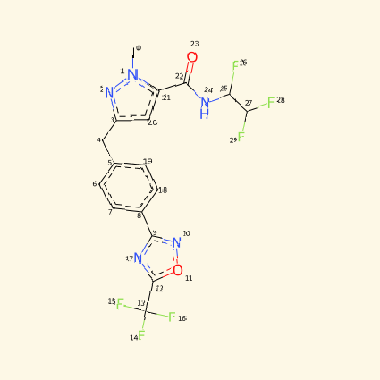 Cn1nc(Cc2ccc(-c3noc(C(F)(F)F)n3)cc2)cc1C(=O)NC(F)C(F)F